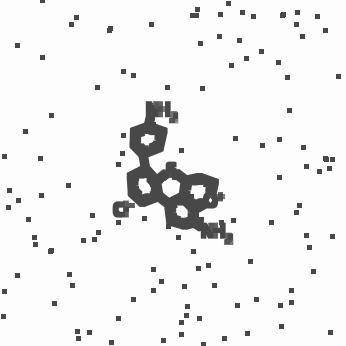 Nc1ccc(-c2cccc(-c3ccc(N)cc3)c2Sc2cc[o+]cc2)cc1.[Cl-]